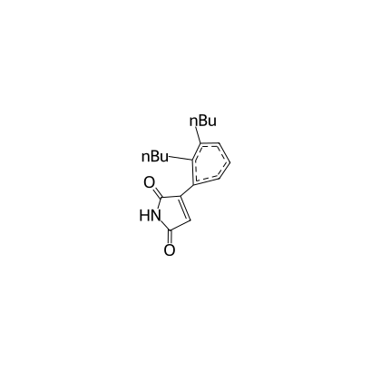 CCCCc1cccc(C2=CC(=O)NC2=O)c1CCCC